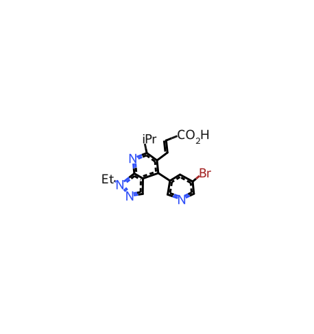 CCn1ncc2c(-c3cncc(Br)c3)c(C=CC(=O)O)c(C(C)C)nc21